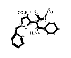 CCOC(=O)C1CN(Cc2ccccc2)OC1C(C(=O)OC(C)(C)C)[C@H](N)C1CCCCC1